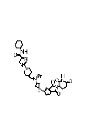 CC(C)N(CC1CCN(c2cnc(C(=O)NC3CCCCC3)cn2)CC1)[C@H]1C[C@H](Oc2ccc3c(c2)C(=O)N(C2CCC(=O)NC2=O)C3=O)C1